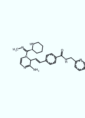 C/N=C(/[C@@H]1CCCCN1)N1C=CN=C(N)C1/C=C/c1ccc(C(=O)NCc2ccccn2)cc1